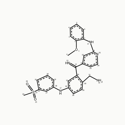 COc1ccccc1Nc1cc(C(=N)c2cc(Nc3cccc(S(C)(=O)=O)c3)ccc2CN)ccn1